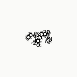 COc1ccc(CC2c3cc(Oc4cnccn4)c(OC)cc3CCN2CC(=O)NC2CCc3ccccc32)cc1OC